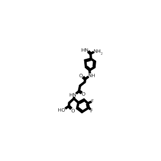 N=C(N)c1ccc(NC(=O)CCC(=O)NC(CC(=O)O)c2ccc(F)c(F)c2)cc1